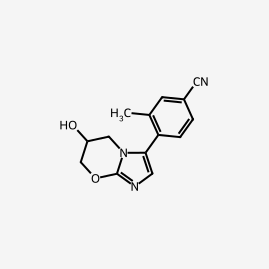 Cc1cc(C#N)ccc1-c1cnc2n1CC(O)CO2